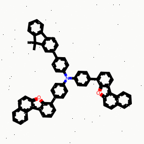 CC1(C)c2ccccc2-c2ccc(-c3ccc(N(c4ccc(-c5cccc6c5oc5ccc7ccccc7c56)cc4)c4ccc(-c5cccc6c5oc5ccc7ccccc7c56)cc4)cc3)cc21